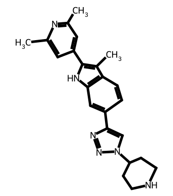 Cc1cc(-c2[nH]c3cc(-c4cn(C5CCNCC5)nn4)ccc3c2C)cc(C)n1